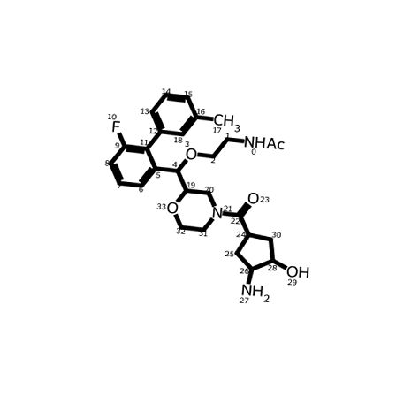 CC(=O)NCCOC(c1cccc(F)c1-c1cccc(C)c1)C1CN(C(=O)C2CC(N)C(O)C2)CCO1